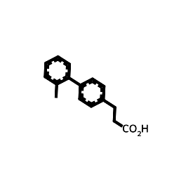 Cc1ccccc1-c1ccc(CCC(=O)O)cc1